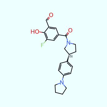 O=Cc1cc(C(=O)N2CC[C@@H](c3ccc(N4CCCC4)cc3)C2)cc(F)c1O